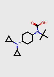 CC(C)(C)N(C(=O)O)[C@H]1CC[C@H](N(C2CC2)C2CC2)CC1